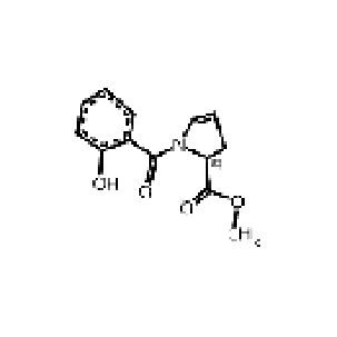 COC(=O)[C@@H]1CC=CN1C(=O)c1ccccc1O